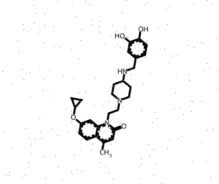 Cc1cc(=O)n(CCN2CCC(NCc3ccc(O)c(O)c3)CC2)c2cc(OC3CC3)ccc12